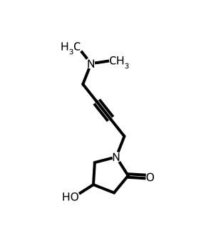 CN(C)CC#CCN1CC(O)CC1=O